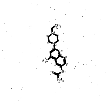 CCN1CCN(c2cc(C)c3cc(NC(N)=S)ccc3n2)CC1